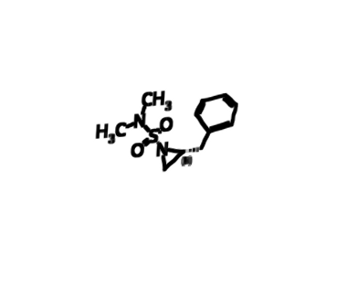 CN(C)S(=O)(=O)N1C[C@H]1Cc1ccccc1